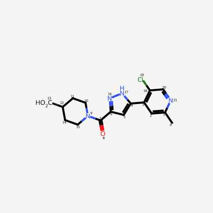 Cc1cc(-c2cc(C(=O)N3CCC(C(=O)O)CC3)n[nH]2)c(Cl)cn1